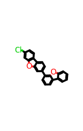 Clc1ccc2c(c1)oc1cc(-c3cccc4c3oc3ccccc34)ccc12